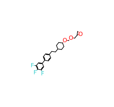 Fc1cc(-c2ccc(CCC3CCC(OCOCC4CO4)CC3)cc2)cc(F)c1F